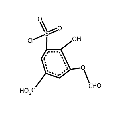 O=COc1cc(C(=O)O)cc(S(=O)(=O)Cl)c1O